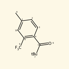 Cc1ccc(C(=O)C(C)(C)C)c(C(F)(F)F)c1